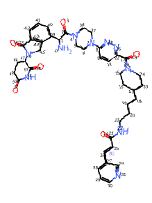 NC(C(=O)N1CCN(c2ccc(C(=O)N3CCC(CCCCNC(=O)/C=C/c4cccnc4)CC3)nn2)CC1)c1cccc2c1CN(C1CCC(=O)NC1=O)C2=O